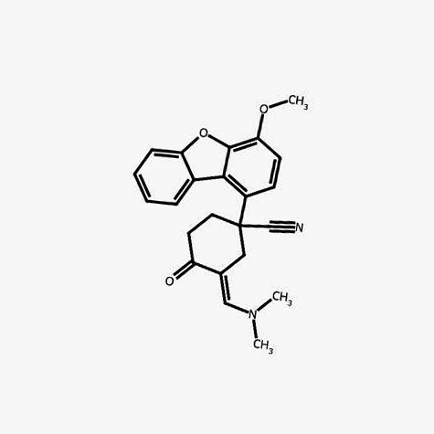 COc1ccc(C2(C#N)CCC(=O)C(=CN(C)C)C2)c2c1oc1ccccc12